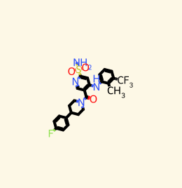 Cc1c(Nc2cc(S(N)(=O)=O)ncc2C(=O)N2CCC(c3ccc(F)cc3)CC2)cccc1C(F)(F)F